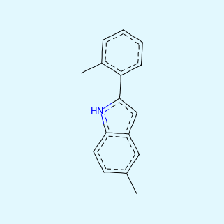 Cc1ccc2[nH]c(-c3ccccc3C)cc2c1